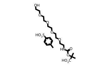 CC(C)(OC(=O)NCCOCCOCCOCCOCCO)C(=O)O.Cc1ccc(S(=O)(=O)O)cc1